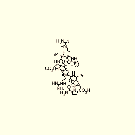 CC(C)[C@H](NC(=O)[C@H](CCCNC(=N)N)NC(=O)[C@@H]1CCCN1)C(=O)N[C@@H](CC(=O)O)C(=O)N[C@H](C(=O)N[C@@H](CCCNC(=N)N)C(=O)N[C@H](C(=O)N[C@@H](CC(=O)O)C(=O)N1CCC[C@H]1C(N)=O)C(C)C)C(C)C